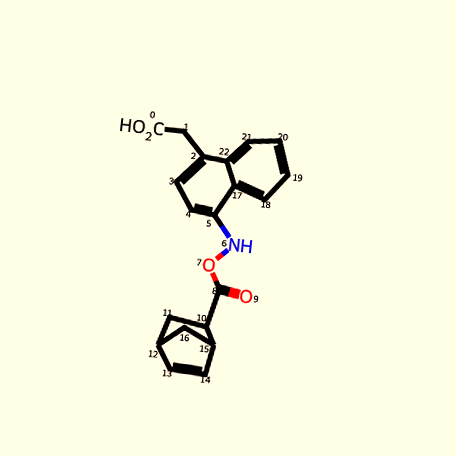 O=C(O)Cc1ccc(NOC(=O)C2CC3C=CC2C3)c2ccccc12